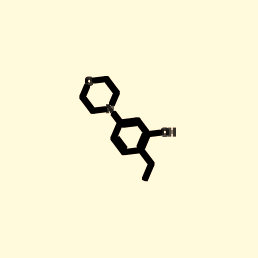 CCc1ccc(N2CCOCC2)cc1O